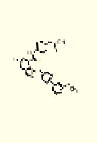 COc1cc(F)cc(-c2ncc(Cn3ncc4cc(F)cc(C(=O)NC5CCC(CC(=O)O)CC5)c43)cn2)c1